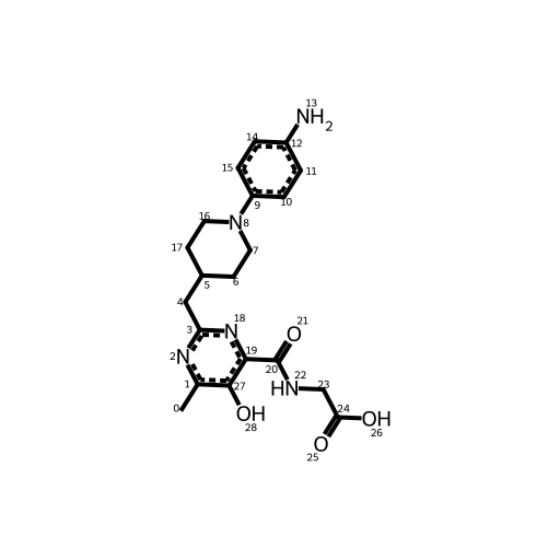 Cc1nc(CC2CCN(c3ccc(N)cc3)CC2)nc(C(=O)NCC(=O)O)c1O